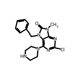 Cn1c(=O)n(Cc2ccccc2)c2c(N3CCNCC3)nc(Cl)nc21